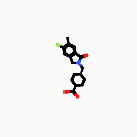 Cc1cc2c(cc1F)CN(C[C@H]1CC[C@H](C(=O)O)CC1)C2=O